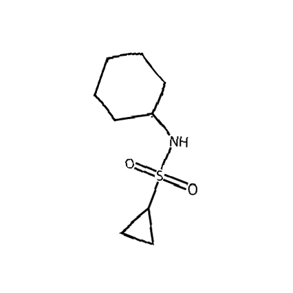 O=S(=O)(N[C]1CCCCC1)C1CC1